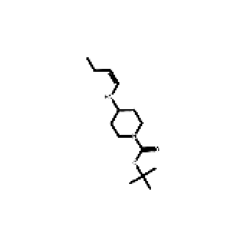 CC/C=C\NC1CCN(C(=O)OC(C)(C)C)CC1